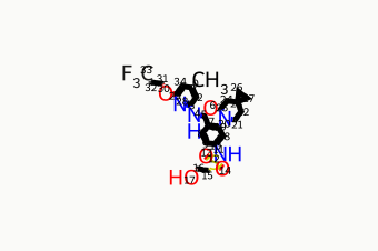 Cc1cc(NC(=O)c2ccc(NS(=O)(=O)CCO)cc2N2CCC3(CC2)CC3)nc(OCCC(F)(F)F)c1